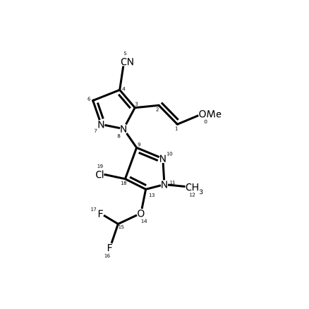 COC=Cc1c(C#N)cnn1-c1nn(C)c(OC(F)F)c1Cl